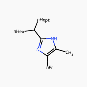 CCCCCCCC(CCCCCC)c1nc(CCC)c(C)[nH]1